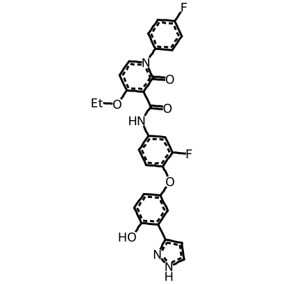 CCOc1ccn(-c2ccc(F)cc2)c(=O)c1C(=O)Nc1ccc(Oc2ccc(O)c(-c3cc[nH]n3)c2)c(F)c1